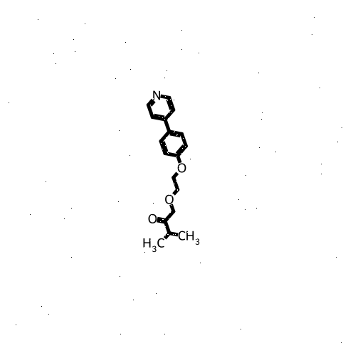 CC(C)C(=O)COCCOc1ccc(-c2ccncc2)cc1